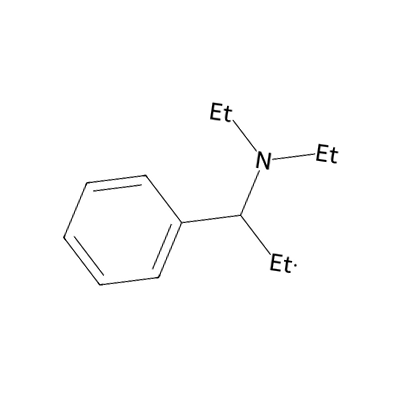 C[CH]C(c1ccccc1)N(CC)CC